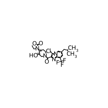 CC(C)Cc1cc(C(F)(F)F)c2nc(C(=O)N3CC[C@@H](N4CCOC4=O)[C@H](O)C3)c(Cl)n2c1